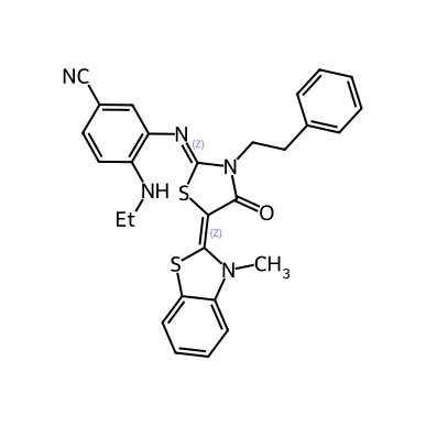 CCNc1ccc(C#N)cc1/N=C1\S/C(=C2\Sc3ccccc3N2C)C(=O)N1CCc1ccccc1